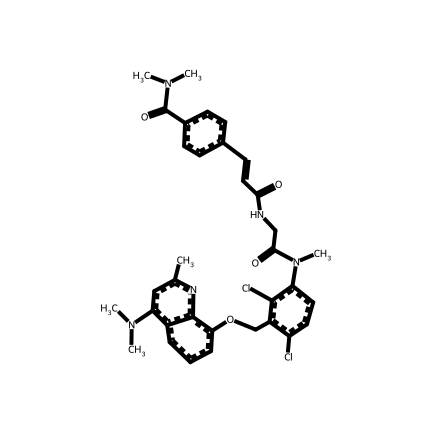 Cc1cc(N(C)C)c2cccc(OCc3c(Cl)ccc(N(C)C(=O)CNC(=O)C=Cc4ccc(C(=O)N(C)C)cc4)c3Cl)c2n1